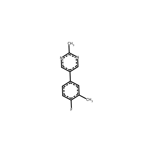 Cc1ncc(-c2ccc(F)c(C)c2)cn1